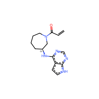 C=CC(=O)N1CCCC[C@H](Nc2ncnc3[nH]ccc23)C1